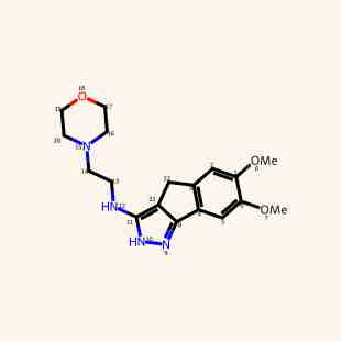 COc1cc2c(cc1OC)-c1n[nH]c(NCCN3CCOCC3)c1C2